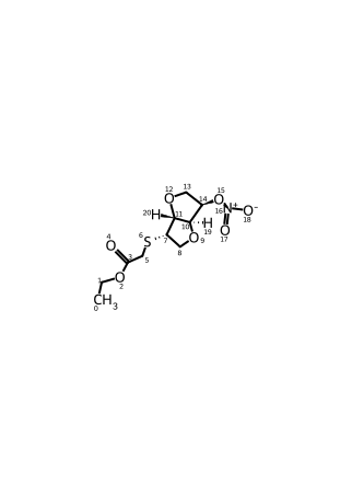 CCOC(=O)CS[C@H]1CO[C@H]2[C@H]1OC[C@H]2O[N+](=O)[O-]